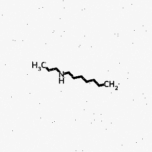 [CH2]CCCCCCNCCC